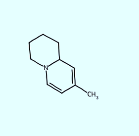 CC1=CC2CCCCN2C=C1